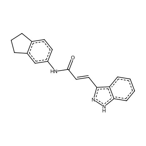 O=C(C=Cc1n[nH]c2ccccc12)Nc1ccc2c(c1)CCC2